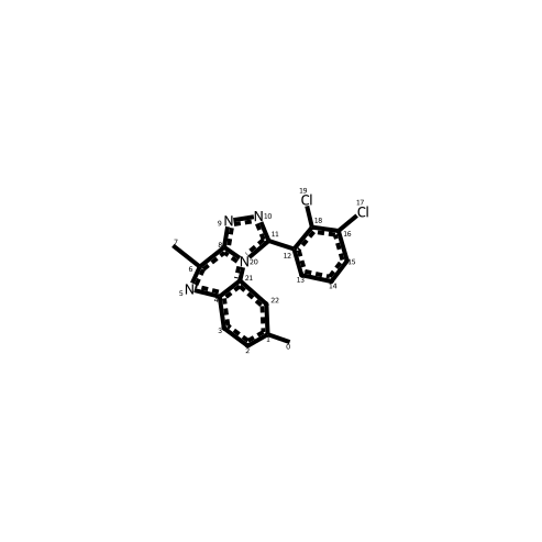 Cc1ccc2nc(C)c3nnc(-c4cccc(Cl)c4Cl)n3c2c1